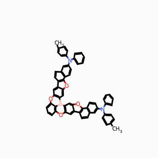 Cc1ccc(N(c2ccccc2)c2ccc3c(ccc4c5cc6c(cc5oc34)B3c4cc5oc7c8ccc(N(c9ccccc9)c9ccc(C)cc9)cc8ccc7c5cc4Oc4cccc(c43)O6)c2)cc1